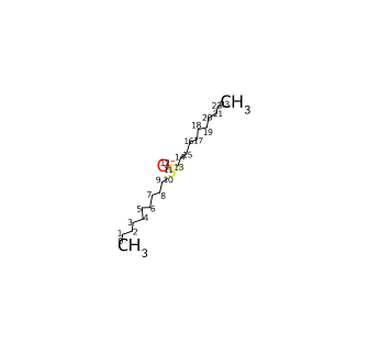 CCCCCCCCCCC[S+]([O-])CCCCCCCCCCC